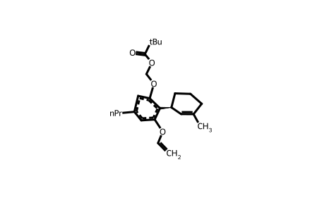 C=COc1cc(CCC)cc(OCOC(=O)C(C)(C)C)c1[C@@H]1C=C(C)CCC1